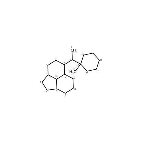 CC(C1CCC2CCC3CCCC1C32)C1(C)CCCCC1